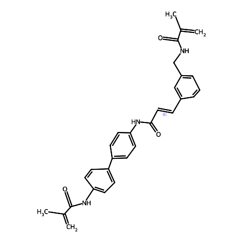 C=C(C)C(=O)NCc1cccc(/C=C/C(=O)Nc2ccc(-c3ccc(NC(=O)C(=C)C)cc3)cc2)c1